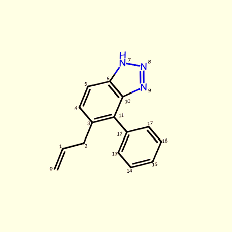 C=CCc1ccc2[nH]nnc2c1-c1ccccc1